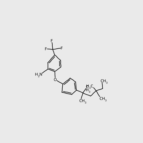 CCC(C)(C)CC(C)(C)c1ccc(Oc2ccc(C(F)(F)F)cc2N)cc1